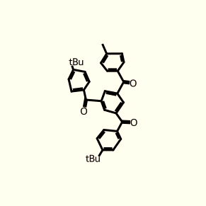 Cc1ccc(C(=O)c2cc(C(=O)c3ccc(C(C)(C)C)cc3)cc(C(=O)c3ccc(C(C)(C)C)cc3)c2)cc1